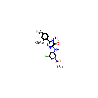 COc1cc(C(F)(F)F)ccc1-c1nnc(N[C@@H]2C[C@H](F)CN(C(=O)OC(C)(C)C)C2)c(=O)n1C